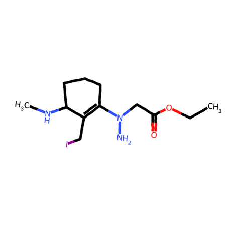 CCOC(=O)CN(N)C1=C(CI)C(NC)CCC1